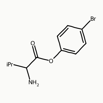 CC(C)C(N)C(=O)Oc1ccc(Br)cc1